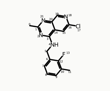 Cc1nc(NCc2cccc(C)c2F)c2cc(Cl)ncc2n1